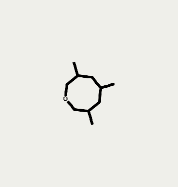 CC1COCC(C)CC(C)C1